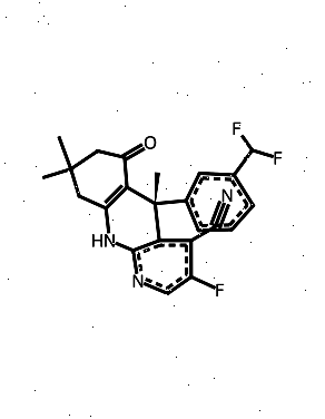 CC1(C)CC(=O)C2=C(C1)Nc1ncc(F)c(C#N)c1[C@@]2(C)c1cccc(C(F)F)c1